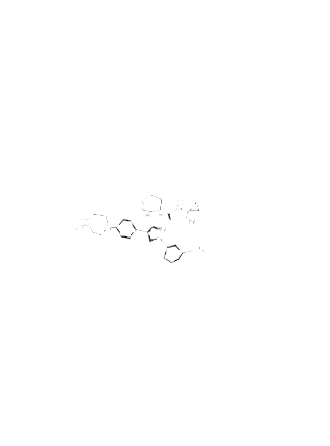 N#Cc1cccc(-n2cc(-c3ccc(N4CCS(=O)(=O)CC4)cc3)c([C@@H]3CCCC[C@H]3C(=O)NC3(C#N)CC3)n2)c1